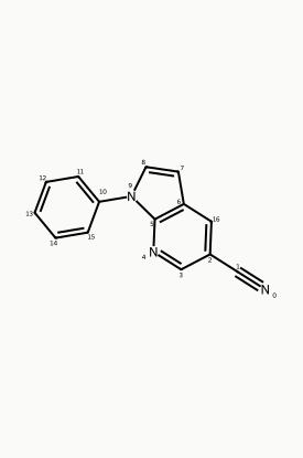 N#Cc1cnc2c(ccn2-c2ccccc2)c1